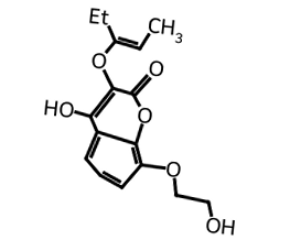 CC=C(CC)Oc1c(O)c2cccc(OCCO)c2oc1=O